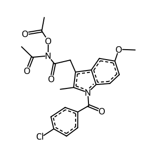 COc1ccc2c(c1)c(CC(=O)N(OC(C)=O)C(C)=O)c(C)n2C(=O)c1ccc(Cl)cc1